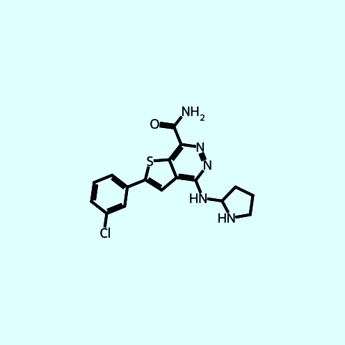 NC(=O)c1nnc(NC2CCCN2)c2cc(-c3cccc(Cl)c3)sc12